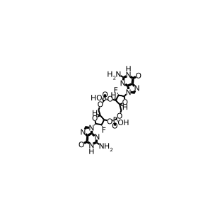 Nc1nc2c(ncn2C2O[C@@H]3COP(=O)(O)OC4[C@@H](COP(=O)(O)O[C@@H]3[C@@H]2F)O[C@@H](n2cnc3c(=O)[nH]c(N)nc32)[C@H]4F)c(=O)[nH]1